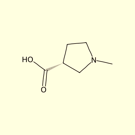 CN1CC[C@@H](C(=O)O)C1